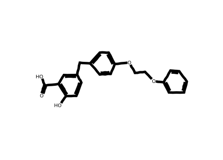 O=C(O)c1cc(Cc2ccc(OCCOc3ccccc3)cc2)ccc1O